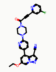 CCOc1cc(-c2ccc(N3CCN(C(=O)C#Cc4cc(F)ccn4)CC3)nc2)c2c(C#N)cnn2c1